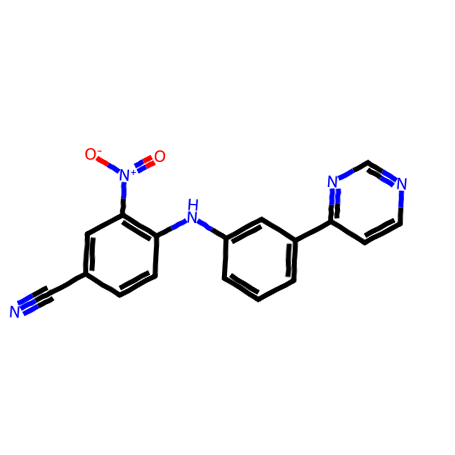 N#Cc1ccc(Nc2cccc(-c3ccncn3)c2)c([N+](=O)[O-])c1